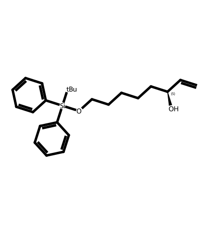 C=C[C@@H](O)CCCCCO[Si](c1ccccc1)(c1ccccc1)C(C)(C)C